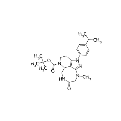 CC(C)c1ccc(-n2nc3c4c2CCN(C(=O)OC(C)(C)C)C4CNC(=O)CN3C)cc1